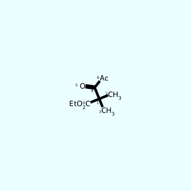 CCOC(=O)C(C)(C)C(=O)C(C)=O